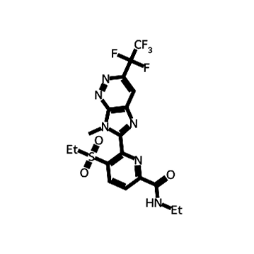 CCNC(=O)c1ccc(S(=O)(=O)CC)c(-c2nc3cc(C(F)(F)C(F)(F)F)nnc3n2C)n1